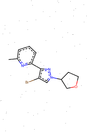 Cc1cccc(-c2nn(C3CCOC3)cc2Br)n1